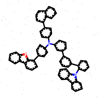 c1cc(-c2cccc(N(c3ccc(-c4cccc5ccccc45)cc3)c3ccc(-c4cccc5c4oc4ccccc45)cc3)c2)cc(-c2ccccc2-n2c3ccccc3c3ccccc32)c1